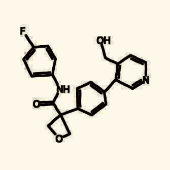 O=C(Nc1ccc(F)cc1)C1(c2ccc(-c3cnccc3CO)cc2)COC1